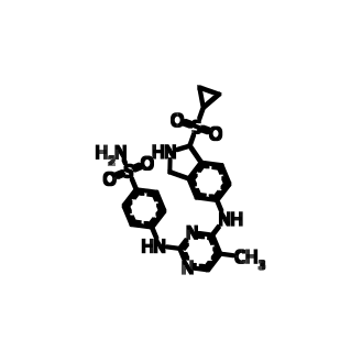 Cc1cnc(Nc2ccc(S(N)(=O)=O)cc2)nc1Nc1ccc2c(c1)CNC2S(=O)(=O)C1CC1